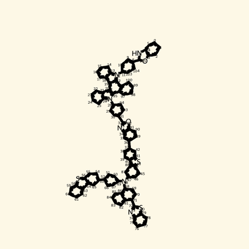 c1ccc2c(c1)NC(c1ccc(-n3c4ccccc4c4c5c6ccccc6n(-c6ccc(-c7nc8cc(-c9ccc%10c(c9)sc9ccc(N(c%11ccc(-c%12ccc%13sc%14ccccc%14c%13c%12)cc%11)c%11ccc(-c%12nc%13ccccc%13s%12)c%12ccccc%11%12)cc9%10)ccc8o7)cc6)c5c5ccccc5c43)cc1)O2